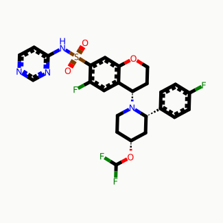 O=S(=O)(Nc1ccncn1)c1cc2c(cc1F)[C@@H](N1CC[C@@H](OC(F)F)C[C@H]1c1ccc(F)cc1)CCO2